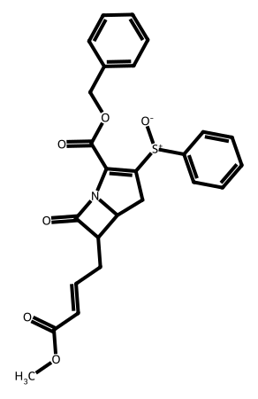 COC(=O)/C=C/CC1C(=O)N2C(C(=O)OCc3ccccc3)=C([S+]([O-])c3ccccc3)CC12